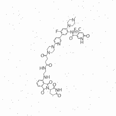 C[C@@H]1CN(c2cc(F)c(-c3ccc(N4CCN(C(=O)CCC(=O)NCCNc5cccc6c5C(=O)N(C5CCC(=O)NC5=O)C6=O)CC4)nc3)cc2NC(=O)c2c[nH]c(=O)cc2C(F)(F)F)C[C@H](C)N1C